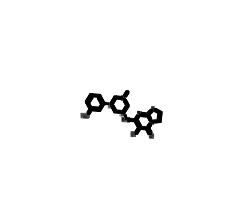 CN1C[C@H](Nc2nc3sccn3c(=O)c2Br)C[C@H](c2cccc(O)c2)C1